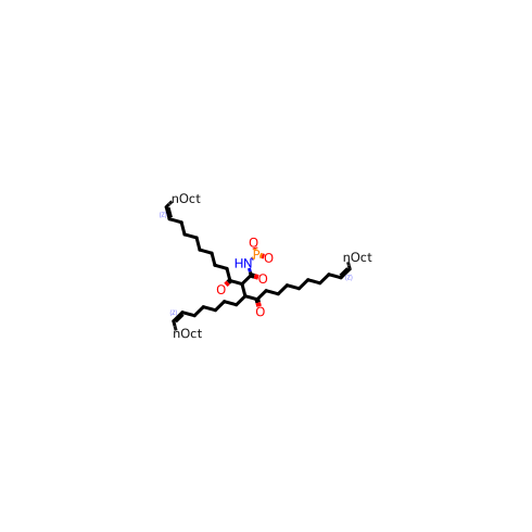 CCCCCCCC/C=C\CCCCCCCC(=O)C(CCCCC/C=C\CCCCCCCC)C(C(=O)CCCCCCC/C=C\CCCCCCCC)C(=O)NP(=O)=O